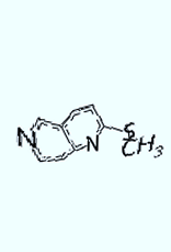 CSc1ccc2cnccc2n1